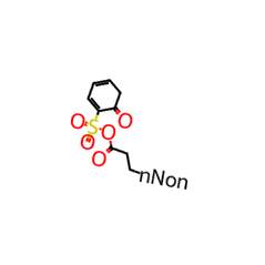 CCCCCCCCCCCC(=O)OS(=O)(=O)C1=CC=CCC1=O